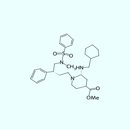 COC(=O)C1CCN(CC[C@@H](CN(C)S(=O)(=O)c2ccccc2)c2ccccc2)[C@H](NCC2CCCCC2)C1